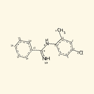 Cc1cc(Cl)ccc1NC(=N)c1ccccc1